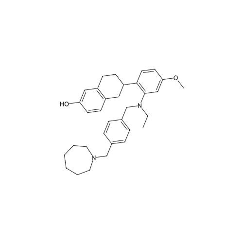 CCN(Cc1ccc(CN2CCCCCC2)cc1)c1cc(OC)ccc1C1CCc2cc(O)ccc2C1